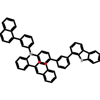 c1cc(-c2ccc(N(c3cccc(-c4cccc5ccccc45)c3)c3ccccc3-c3ccc4ccccc4c3)cc2)cc(-c2cccc3c2sc2ccccc23)c1